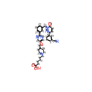 N#Cc1cccc(-c2ccc(=O)n(Cc3cccc(-c4ncc(OCC5CCN(CCCCCC(=O)O)CC5)cn4)c3)n2)c1